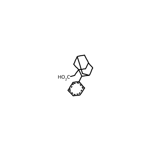 O=C(O)CC12CC3CC(CC(C3)C1c1ccccc1)C2